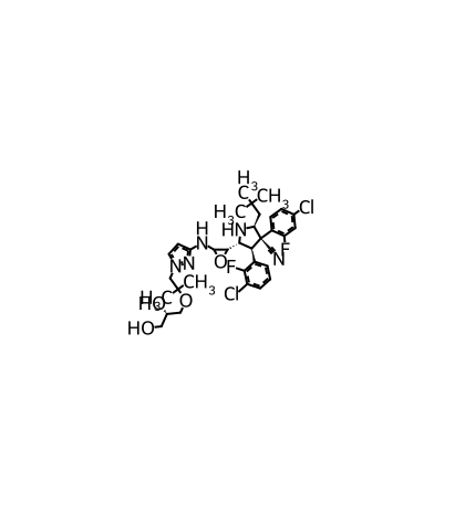 CC(C)(C)C[C@@H]1N[C@@H](C2OC2Nc2ccn(CC(C)(C)OC[C@@H](O)CO)n2)[C@H](c2cccc(Cl)c2F)[C@@]1(C#N)c1ccc(Cl)cc1F